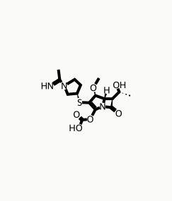 CO[C@H]1C(S[C@H]2CCN(C(C)=N)C2)=C(OC(=O)O)N2C(=O)[C@H]([C@@H](C)O)[C@@H]12